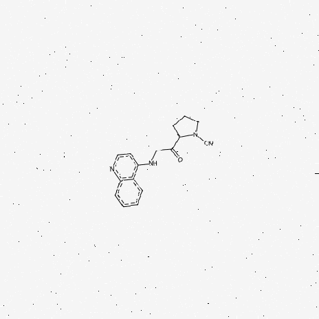 N#CN1CCCC1C(=O)CNc1ccnc2ccccc12